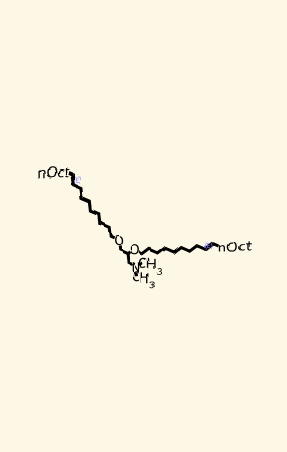 CCCCCCCC/C=C/CCCCCCCCOCC(CN(C)C)OCCCCCCCC/C=C/CCCCCCCC